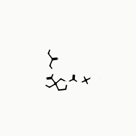 C=C(CC)COC(=O)C1(CC)CCN(C(=O)OC(C)(C)C)C1